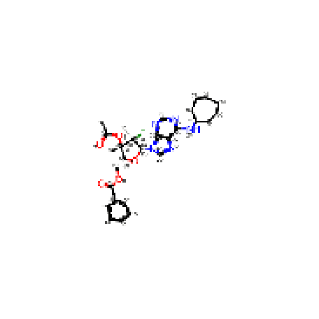 CC(=O)O[C@@]1(C)[C@@H](COC(=O)c2ccccc2)O[C@H](n2cnc3c(NC4CCCCCC4)ncnc32)[C@]1(C)F